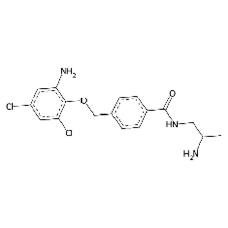 CC(N)CNC(=O)c1ccc(COc2c(N)cc(Cl)cc2Cl)cc1